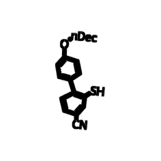 CCCCCCCCCCOc1ccc(-c2ccc(C#N)cc2S)cc1